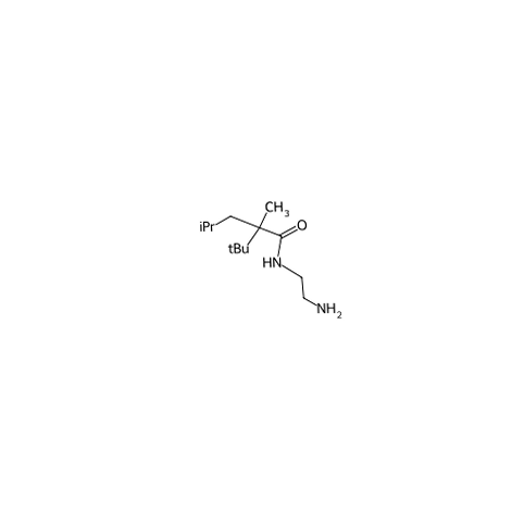 CC(C)CC(C)(C(=O)NCCN)C(C)(C)C